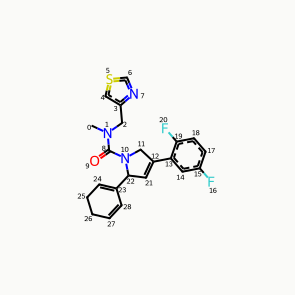 CN(Cc1cscn1)C(=O)N1CC(c2cc(F)ccc2F)=CC1C1=CCCC=C1